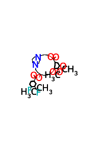 COc1cc2cc(c1OC)OCCCC(OC(=O)c1ccc(F)c(C(C)(C)F)c1)CCN1CCCN(CCCOC2=O)CC1